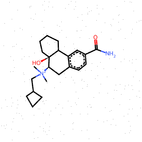 C[N+](C)(CC1CCC1)[C@@H]1Cc2ccc(C(N)=O)cc2C2CCCC[C@]21O